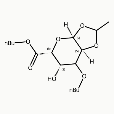 CCCCOC(=O)[C@@H]1O[C@H]2OC(C)O[C@H]2C(OCCCC)[C@@H]1O